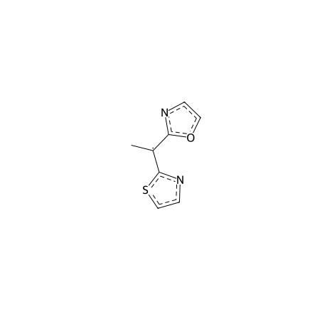 C[C](c1ncco1)c1nccs1